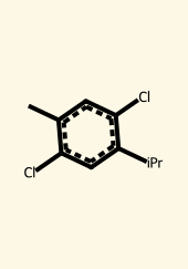 Cc1cc(Cl)c(C(C)C)cc1Cl